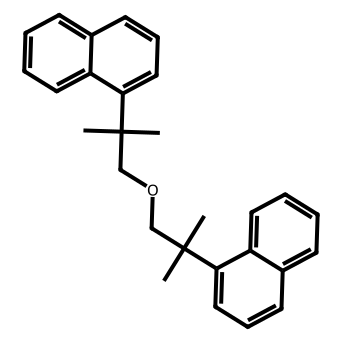 CC(C)(COCC(C)(C)c1cccc2ccccc12)c1cccc2ccccc12